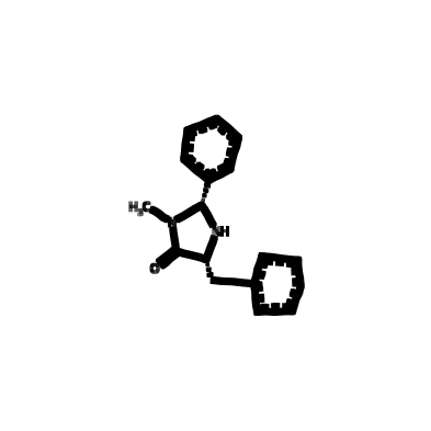 CN1C(=O)[C@@H](Cc2ccccc2)N[C@H]1c1ccccc1